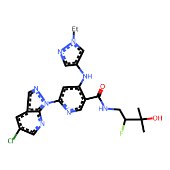 CCn1cc(Nc2cc(-n3ncc4cc(Cl)cnc43)ncc2C(=O)NCC(F)C(C)(C)O)cn1